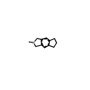 CN1Cc2cc3c(cc2C1)CCC3